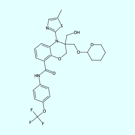 Cc1cnc(N2c3cccc(C(=O)Nc4ccc(OC(F)(F)F)cc4)c3OCC2(CO)COC2CCCCO2)s1